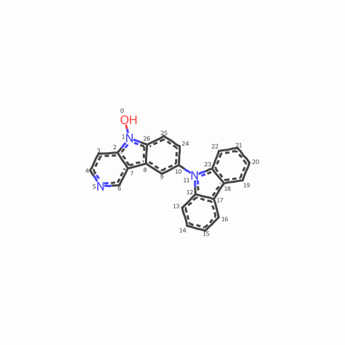 On1c2ccncc2c2cc(-n3c4ccccc4c4ccccc43)ccc21